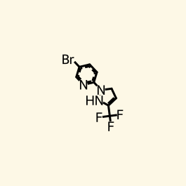 FC(F)(F)C1=CCN(c2ccc(Br)cn2)N1